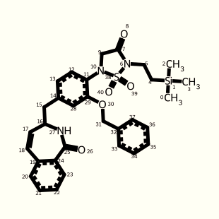 C[Si](C)(C)CCN1C(=O)CN(c2ccc(CC3C=Cc4ccccc4C(=O)N3)cc2OCc2ccccc2)S1(=O)=O